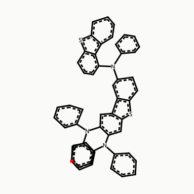 c1ccc(N(c2ccccc2)c2cc3sc4ccc(N(c5ccccc5)c5cccc6sc7ccccc7c56)cc4c3cc2N(c2ccccc2)c2ccccc2)cc1